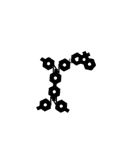 Cc1ccc(N(c2ccc(C)cc2)c2ccc(-c3ccc(N(c4ccc(C)cc4)c4ccc([C@@H]5C=CC6=C(C5)c5ccccc5C6(C)C)cc4)cc3)cc2)cc1